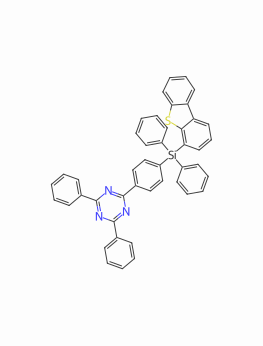 c1ccc(-c2nc(-c3ccccc3)nc(-c3ccc([Si](c4ccccc4)(c4ccccc4)c4cccc5c4sc4ccccc45)cc3)n2)cc1